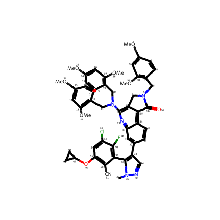 COc1ccc(CN2Cc3c(N(Cc4ccc(OC)cc4OC)Cc4ccc(OC)cc4OC)nc4cc(-c5cnn(C)c5-c5c(F)c(Cl)cc(OC6CC6)c5C#N)ccc4c3C2=O)c(OC)c1